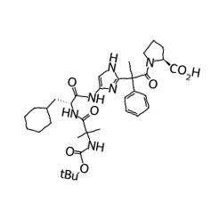 CC(C)(C)OC(=O)NC(C)(C)C(=O)N[C@H](CC1CCCCC1)C(=O)Nc1c[nH]c(C(C)(C(=O)N2CCC[C@H]2C(=O)O)c2ccccc2)n1